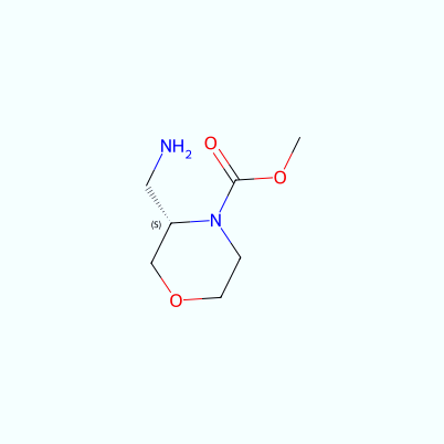 COC(=O)N1CCOC[C@@H]1CN